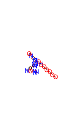 COCCOCCOCCOCCOCCOCCOc1nn(C2CCC(N3CCOCC3)CC2)cc1Nc1ncc(-c2ccc(C#N)c(O[C@@H](C)Cn3cncn3)c2)cn1